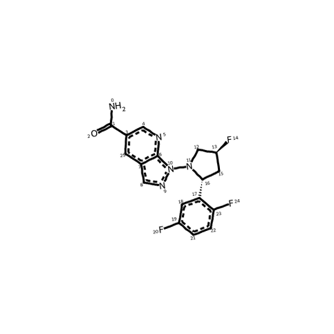 NC(=O)c1cnc2c(cnn2N2C[C@@H](F)C[C@@H]2c2cc(F)ccc2F)c1